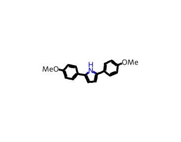 COc1ccc(-c2ccc(-c3ccc(OC)cc3)[nH]2)cc1